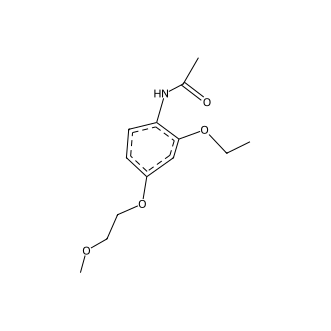 CCOc1cc(OCCOC)ccc1NC(C)=O